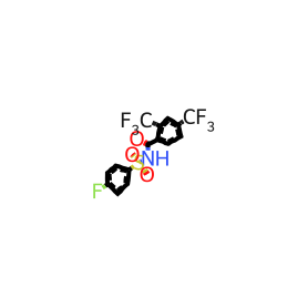 O=C(NS(=O)(=O)c1ccc(F)cc1)c1ccc(C(F)(F)F)cc1C(F)(F)F